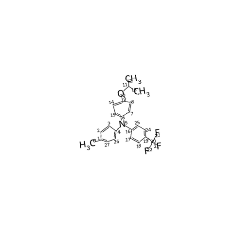 Cc1ccc(N(c2ccc(OC(C)C)cc2)c2ccc(C(F)(F)F)cc2)cc1